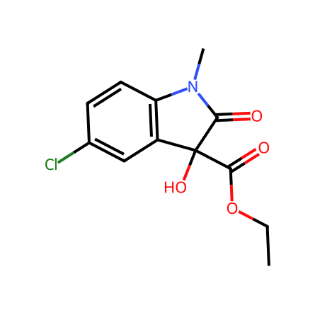 CCOC(=O)C1(O)C(=O)N(C)c2ccc(Cl)cc21